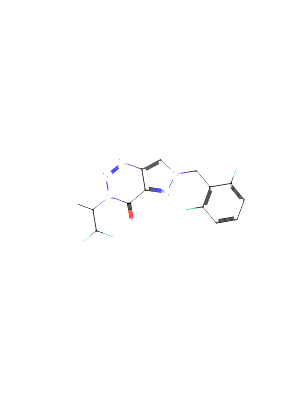 CC(C(F)F)n1nnc2cn(Cc3c(F)cccc3F)nc2c1=O